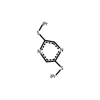 CC(C)Sc1cnc(SC(C)C)cn1